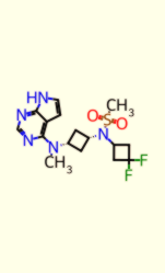 CN(c1ncnc2[nH]ccc12)[C@H]1C[C@@H](N(C2CC(F)(F)C2)S(C)(=O)=O)C1